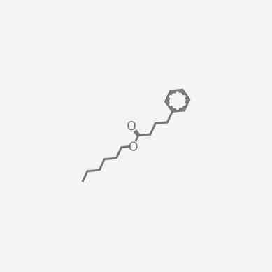 CCCCCCOC(=O)CCCc1ccccc1